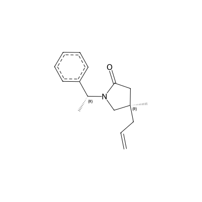 C=CC[C@]1(C)CC(=O)N([C@H](C)c2ccccc2)C1